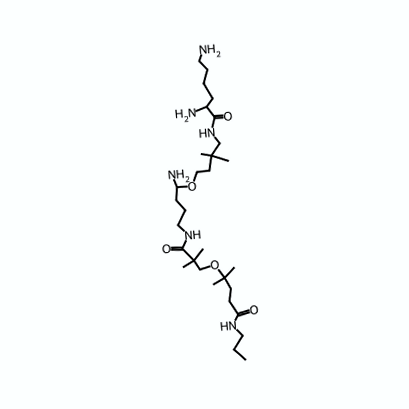 CCCNC(=O)CCC(C)(C)OCC(C)(C)C(=O)NCCCC(N)OCCC(C)(C)CNC(=O)C(N)CCCCN